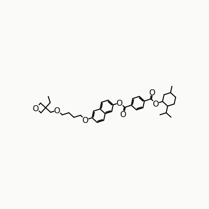 CCC1(COCCCCOc2ccc3cc(OC(=O)c4ccc(C(=O)OC5CC(C)CCC5C(C)C)cc4)ccc3c2)COC1